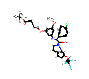 COc1cc(NC(C(=O)N2CCc3ccc(OC(F)(F)F)cc32)c2ccc(Cl)cc2)cc(OCCCC(=O)OC(C)(C)C)c1